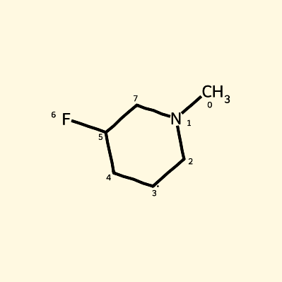 CN1C[CH]CC(F)C1